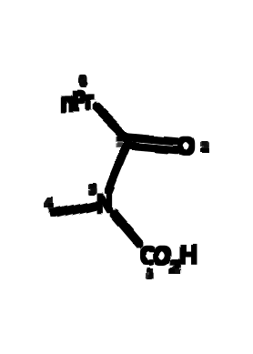 CCCC(=O)N(C)C(=O)O